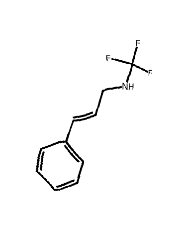 FC(F)(F)NCC=Cc1ccccc1